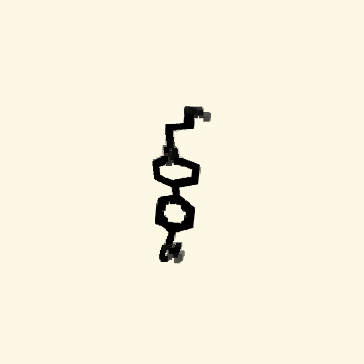 C=CCN1CC=C(c2ccc(C)cc2)CC1